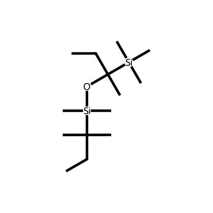 CCC(C)(O[Si](C)(C)C(C)(C)CC)[Si](C)(C)C